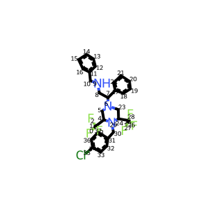 FC(F)(F)C1CN(C(CNCc2ccccc2)c2ccccc2)CC(C(F)(F)F)N1Cc1ccc(Cl)cc1